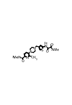 CNC(=O)C(=O)Nc1cc(CN2CCN(c3ccc(C(=O)NC)nc3C)CC2)cs1